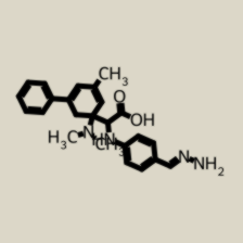 CC1=CC(C(Nc2ccc(C=NN)cc2)C(=O)O)(N(C)C)CC(c2ccccc2)=C1